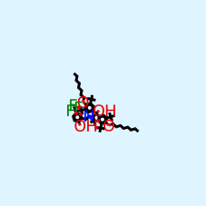 CCCCCCCCOc1c(C(C)(C)C)cc(C(O)(c2cc(C(C)(C)C)c(OCCCCCCCC)c(C(C)(C)C)c2)C(N=Cc2cc(C(F)(F)F)ccc2O)C(C)(C)C)cc1C(C)(C)C